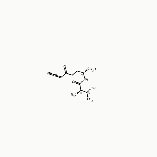 C[C@H](O)[C@@H](C)C(=O)N[C@@H](CCC(=O)C=[N+]=[N-])C(=O)O